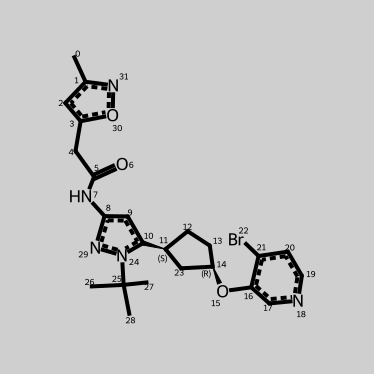 Cc1cc(CC(=O)Nc2cc([C@H]3CC[C@@H](Oc4cnccc4Br)C3)n(C(C)(C)C)n2)on1